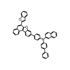 c1ccc(-c2ccc(N(c3ccc(-c4ccc5c(c4)oc4c(-c6cc7ccccc7o6)cc6ccccc6c45)cc3)c3ccc4ccccc4c3)cc2)cc1